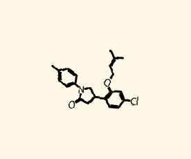 CC(C)=CCOc1cc(Cl)ccc1C1CC(=O)N(c2ccc(C)cc2)C1